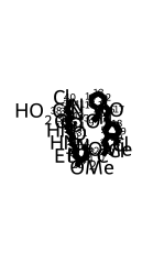 CCOC(=O)/C(Cl)=C/c1cc(N2C(=O)C3=C(CCCC3)C2=O)ccc1Cl.COc1cc(OC)nc(NC(=O)NS(=O)(=O)c2c(C(=O)O)c(Cl)nn2C)n1